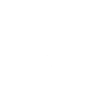 Cc1cc(C)c(-c2ccc(-c3ccc(-c4sc(C)cc4C)s3)s2)s1